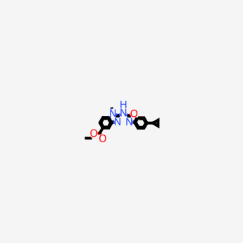 CCOC(=O)c1ccc2c(c1)nc(Nc1nc3ccc(C4CC4)cc3o1)n2C